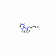 CCCCN(C)C1=NCCN1C